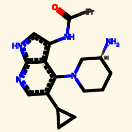 CC(C)C(=O)Nc1c[nH]c2ncc(C3CC3)c(N3CCC[C@@H](N)C3)c12